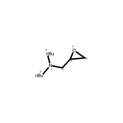 CCCCN([CH]C1CO1)CCCC